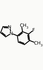 Cc1ccc(-n2cccn2)c(C)c1F